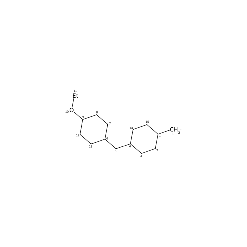 [CH2]C1CCC(CC2CCC(OCC)CC2)CC1